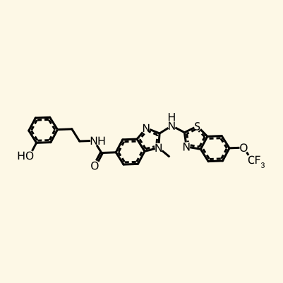 Cn1c(Nc2nc3ccc(OC(F)(F)F)cc3s2)nc2cc(C(=O)NCCc3cccc(O)c3)ccc21